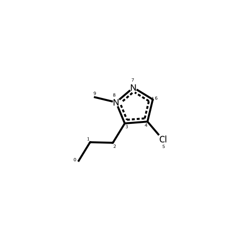 CCCc1c(Cl)[c]nn1C